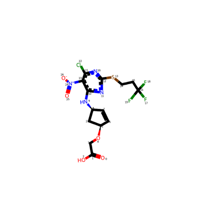 O=C(O)CO[C@@H]1C=C[C@H](Nc2nc(SCCC(F)(F)F)nc(Cl)c2[N+](=O)[O-])C1